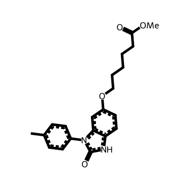 COC(=O)CCCCCOc1ccc2[nH]c(=O)n(-c3ccc(C)cc3)c2c1